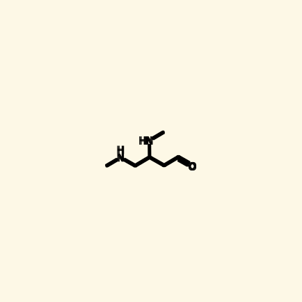 CNCC(CC=O)NC